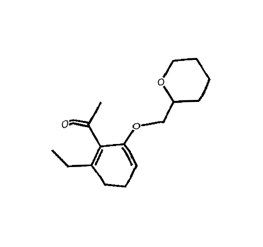 CCC1=C(C(C)=O)C(OCC2CCCCO2)=CCC1